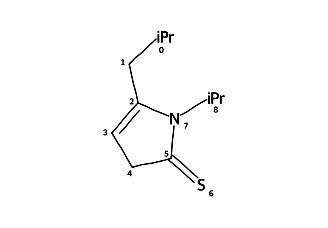 CC(C)CC1=CCC(=S)N1C(C)C